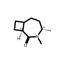 C[C@H]1CCC2CC[C@@H]2C(=O)N1C